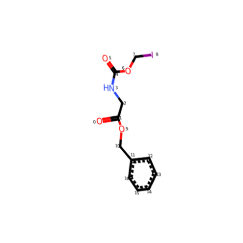 O=C(CNC(=O)OCI)OCc1ccccc1